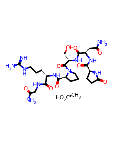 CC(=O)O.N=C(N)NCCC[C@H](NC(=O)[C@@H]1CCCN1C(=O)[C@H](CO)NC(=O)[C@H](CC(N)=O)NC(=O)[C@@H]1CCC(=O)N1)C(=O)NCC(N)=O